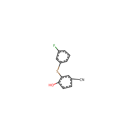 N#Cc1ccc(O)c(Sc2cccc(F)c2)c1